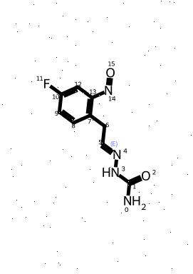 NC(=O)N/N=C/Cc1ccc(F)cc1N=O